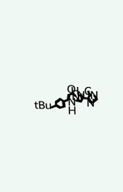 Cc1nccnc1-c1cc2[nH]c(-c3ccc(CC(C)(C)C)cc3)cc(=O)n2n1